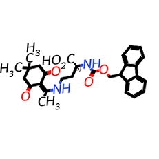 CC(NCC[C@H](NC(=O)OCC1c2ccccc2-c2ccccc21)C(=O)O)=C1C(=O)CC(C)(C)CC1=O